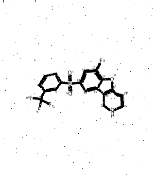 O=S(=O)(c1cccc(C(F)(F)F)c1)c1cc(F)c2oc3c(c2c1)CNCC3